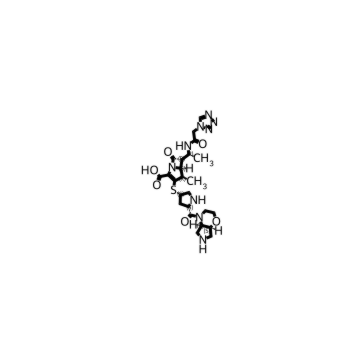 C[C@@H](NC(=O)Cn1cnnn1)[C@H]1C(=O)N2C(C(=O)O)=C(S[C@@H]3CN[C@H](C(=O)N4CCO[C@H]5CNC[C@H]54)C3)[C@H](C)[C@H]12